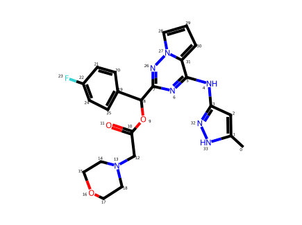 Cc1cc(Nc2nc(C(OC(=O)CN3CCOCC3)c3ccc(F)cc3)nn3cccc23)n[nH]1